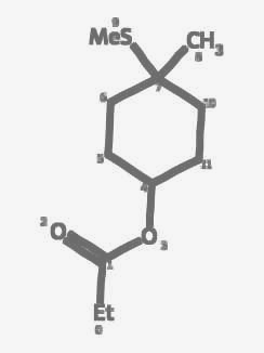 CCC(=O)OC1CCC(C)(SC)CC1